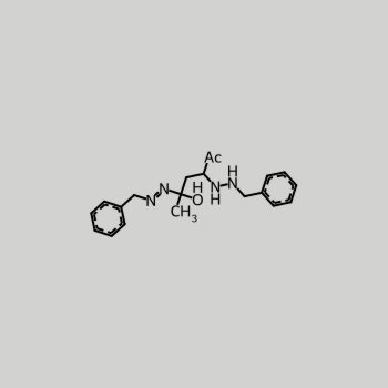 CC(=O)C(CC(C)(O)N=NCc1ccccc1)NNCc1ccccc1